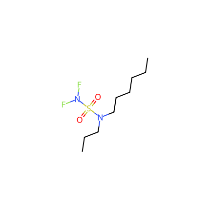 CCCCCCN(CCC)S(=O)(=O)N(F)F